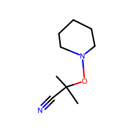 CC(C)(C#N)ON1CCCCC1